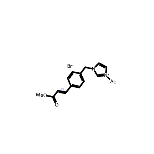 COC(=O)/C=C/c1ccc(Cn2cc[n+](C(C)=O)c2)cc1.[Br-]